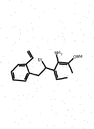 C=Cc1ccccc1CC(CC)C(=C/C)/C(N)=C(\C)OC